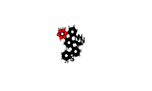 c1ccc(-c2ccccc2-c2c(-c3ccccc3)ccc(-c3cccc4sc5ccccc5c34)c2-c2ccnnn2)cc1